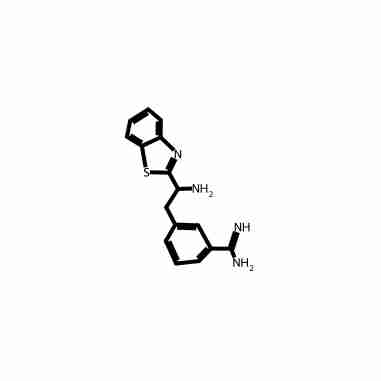 N=C(N)c1cccc(CC(N)c2nc3ccccc3s2)c1